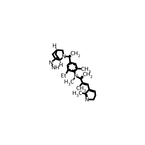 C=C(/C(C)=C/C1=CCCN=C1C)N(C)c1c(C)cc(C(=C)N2C[C@@H]3CC[C@H]2C(N=N)C3)cc1CC